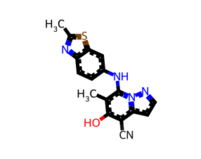 Cc1nc2ccc(Nc3c(C)c(O)c(C#N)c4ccnn34)cc2s1